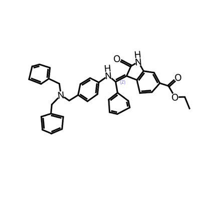 CCOC(=O)c1ccc2c(c1)NC(=O)/C2=C(\Nc1ccc(CN(Cc2ccccc2)Cc2ccccc2)cc1)c1ccccc1